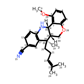 COc1cccc2c1[C@H]1Nc3ccc(C#N)cc3[C@](C)(CCC=C(C)C)[C@H]1CO2